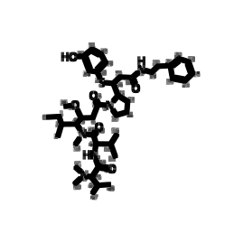 CCC(C)C(C(CC(=O)N1CCCC1C(CC(=O)NCCc1ccccc1)Sc1cccc(O)c1)OC)N(C)C(=O)C(NC(=O)C(C(C)C)N(C)C)C(C)C